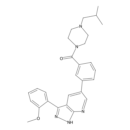 COc1ccccc1-c1n[nH]c2ncc(-c3cccc(C(=O)N4CCN(CC(C)C)CC4)c3)cc12